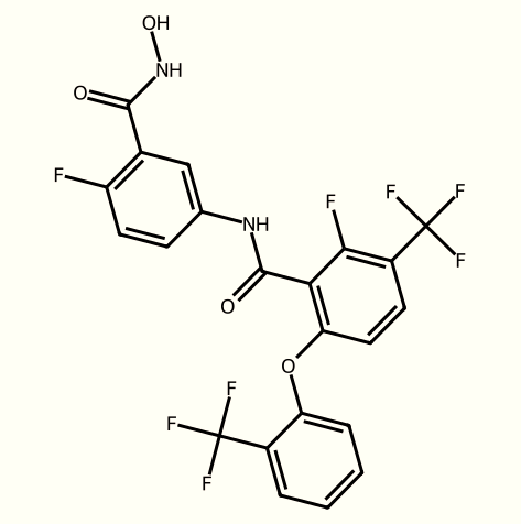 O=C(NO)c1cc(NC(=O)c2c(Oc3ccccc3C(F)(F)F)ccc(C(F)(F)F)c2F)ccc1F